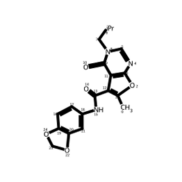 Cc1oc2ncn(CC(C)C)c(=O)c2c1C(=O)Nc1ccc2c(c1)OCO2